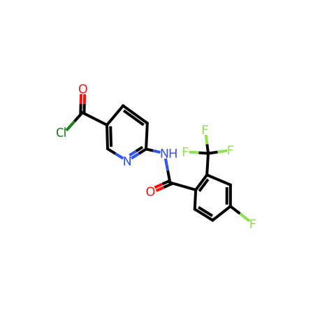 O=C(Cl)c1ccc(NC(=O)c2ccc(F)cc2C(F)(F)F)nc1